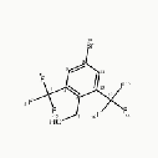 OCc1c(C(F)(F)F)cc(Br)cc1C(F)(F)F